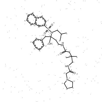 CC(C)CN(C(O)(CCNC(=O)CC(C)(C)CNC(=O)CN1CCCC1)Cc1ccccc1)S(=O)(=O)c1ccc2ccccc2c1